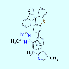 Cc1cnc(C)c(-c2ccc(-c3ccc4c(c3)Sc3ccccc3C43c4ccccc4-c4ccc(-c5nc(C)nc(-c6ccccc6)n5)cc43)cc2)c1